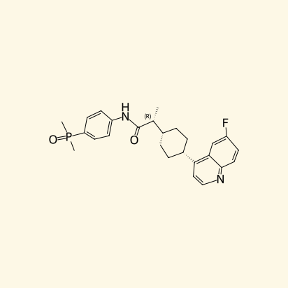 C[C@@H](C(=O)Nc1ccc(P(C)(C)=O)cc1)[C@H]1CC[C@@H](c2ccnc3ccc(F)cc32)CC1